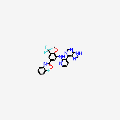 COc1c(Nc2ncccc2-c2ncnc3[nH]cnc23)cc(C(=O)Nc2ccccc2F)cc1C(F)(F)F